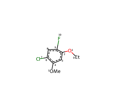 CCOc1cc(OC)c(Cl)[c]c1F